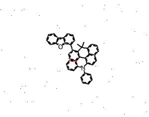 CC1(C)c2c(-c3cccc4c3oc3ccccc34)cccc2-c2c(N(c3ccccc3)c3ccccc3)ccc3cccc1c23